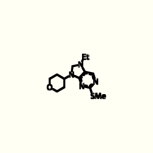 CCN1CN(C2CCOCC2)c2nc(SC)ncc21